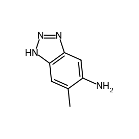 Cc1cc2[nH]nnc2cc1N